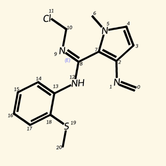 C=Nc1ccn(C)c1/C(=N\CCl)Nc1ccccc1SC